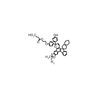 CC1(C)Oc2cc3c4c(c5c(c3cc2S1)OC(c1ccc(O)cc1)(c1ccc(OCCOC(=O)CCC(=O)O)cc1)C=C5)C1(CCC2(CCCCC2)CC1)c1ccccc1-4